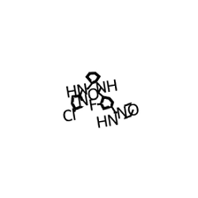 N=C(c1ccc(CNc2ccccc2C(=O)Nc2ccc(Cl)cn2)c(F)c1)N1CCOCC1